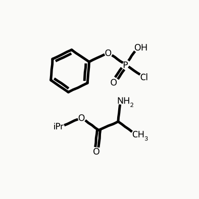 CC(C)OC(=O)C(C)N.O=P(O)(Cl)Oc1ccccc1